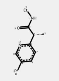 CCNC(=O)[C@H](C)c1ccc(C(C)C)cn1